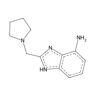 Nc1cccc2[nH]c(CN3CCCC3)nc12